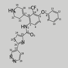 O=C(Nc1ccc(Oc2ccccc2)c(C(F)(F)F)c1C1=CCNCC1)c1csc(-c2ccnnc2)n1